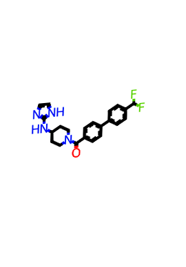 O=C(c1ccc(-c2ccc(C(F)F)cc2)cc1)N1CCC(Nc2ncc[nH]2)CC1